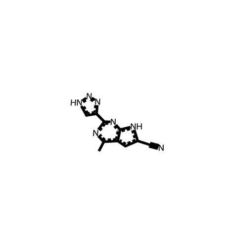 Cc1nc(-c2c[nH]nn2)nc2[nH]c(C#N)cc12